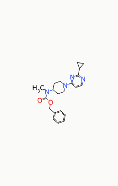 CN(C(=O)OCc1ccccc1)C1CCN(c2ccnc(C3CC3)n2)CC1